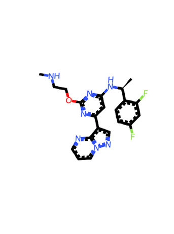 CNCCOc1nc(N[C@@H](C)c2ccc(F)cc2F)cc(-c2cnn3cccnc23)n1